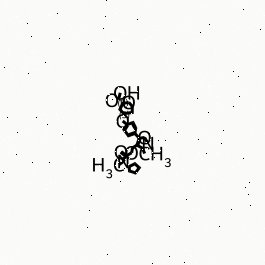 Cc1noc(-c2ccc(O[C@H]3CCO[C@@H](C(=O)O)C3)cc2)c1COC(=O)N(C)C1CCCC1